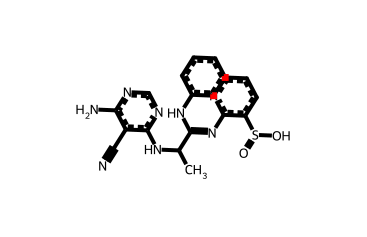 CC(Nc1ncnc(N)c1C#N)/C(=N/c1ncccc1S(=O)O)Nc1ccccc1